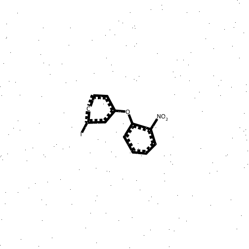 O=[N+]([O-])c1ccccc1Oc1cccc(I)c1